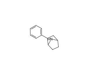 c1ccc(C2CC3CCC2N3)cc1